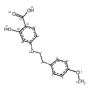 COc1ccc(CCOc2ccc(C(=O)O)c(O)c2)cc1